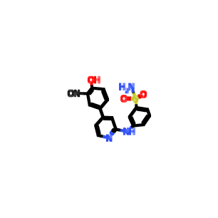 NS(=O)(=O)c1cccc(Nc2cc(-c3ccc(O)c(N=O)c3)ccn2)c1